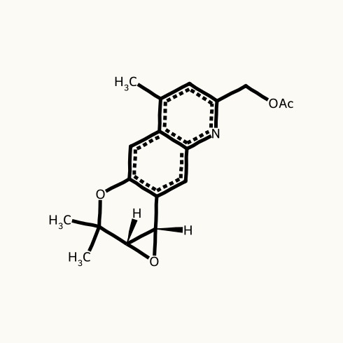 CC(=O)OCc1cc(C)c2cc3c(cc2n1)[C@@H]1O[C@@H]1C(C)(C)O3